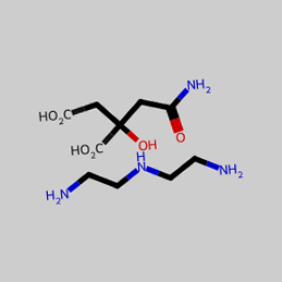 NC(=O)CC(O)(CC(=O)O)C(=O)O.NCCNCCN